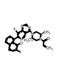 C=CC(=O)N1C[C@H](C)N(c2ncnc3c(F)c(-c4cccc5ccc(F)c(Cl)c45)ncc23)C[C@H]1C